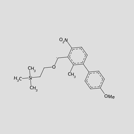 COc1ccc(-c2ccc([N+](=O)[O-])c([CH]OCC[Si](C)(C)C)c2C)cc1